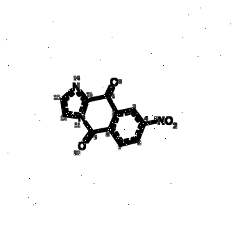 O=C1c2cc([N+](=O)[O-])ccc2C(=O)n2ccnc21